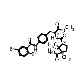 COC(=O)[C@H](Cc1ccc(NC(=O)c2cc(Br)ccc2Br)cc1)NC(=O)[C@H]1CC[C@@](C)(C(=O)O)C1(C)C